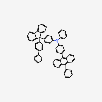 c1ccc(-c2ccc(C3(c4ccc(N(c5ccccc5)c5ccc(-c6c7ccccc7c(-c7ccccc7)c7ccccc67)cc5)cc4)c4ccccc4-c4ccccc43)cc2)cc1